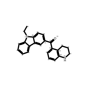 CCn1c2ccccc2c2cc(C(=O)c3cccc4c3CCCN4)ccc21